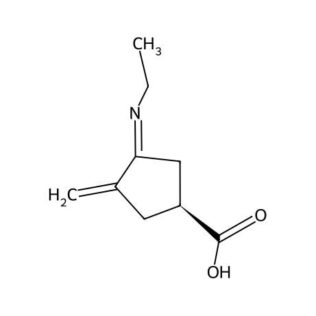 C=C1C[C@H](C(=O)O)CC1=NCC